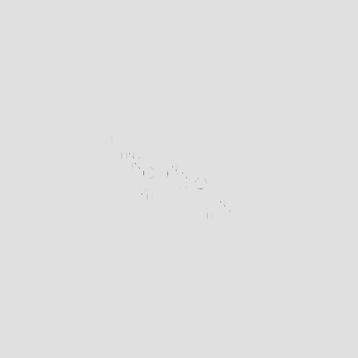 CCC(CC)NC(=O)Nc1ccc(Oc2cnc(NC(=O)c3ccc(CC4CCN(C(C)C)CC4)cc3)s2)c(COC)c1